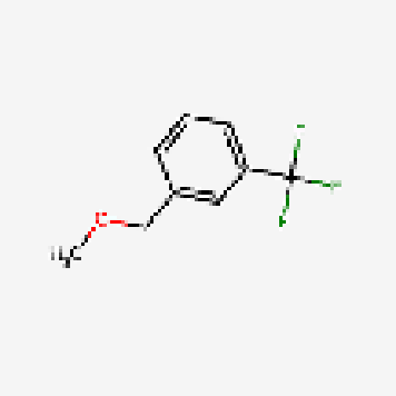 COCc1[c]ccc(C(F)(F)F)c1